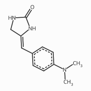 CN(C)c1ccc(C=C2CNC(=O)N2)cc1